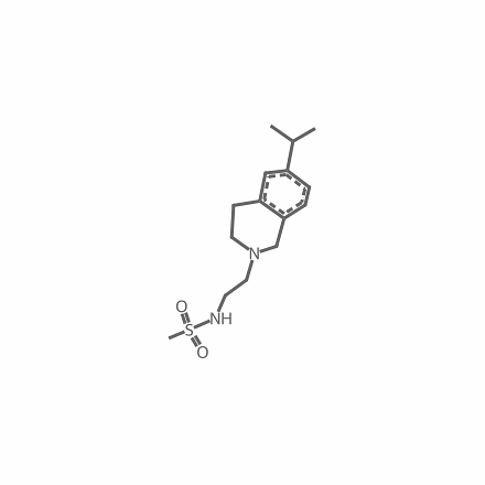 CC(C)c1ccc2c(c1)CCN(CCNS(C)(=O)=O)C2